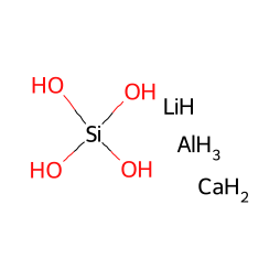 O[Si](O)(O)O.[AlH3].[CaH2].[LiH]